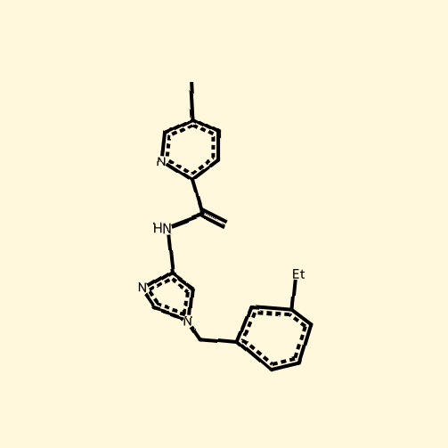 C=C(Nc1cn(Cc2cccc(CC)c2)cn1)c1ccc(C)cn1